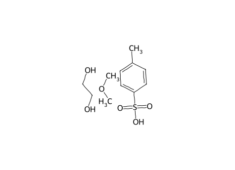 COC.Cc1ccc(S(=O)(=O)O)cc1.OCCO